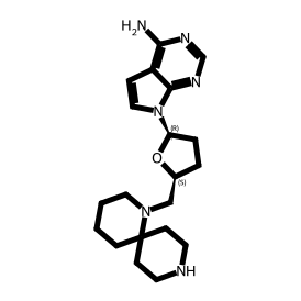 Nc1ncnc2c1ccn2[C@H]1CC[C@@H](CN2CCCCC23CCNCC3)O1